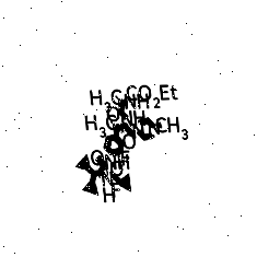 CCOC(=O)N[C@@H](C)C(=O)N[C@@H](C(=O)N1CCN(C)CC1)[C@@H](C)c1ccc(NC(=O)[C@@H](NC(=O)C2(F)CC2)C(C2CC2)C2CC2)c(F)c1